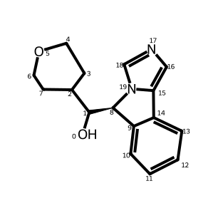 OC(C1CCOCC1)[C@@H]1c2ccccc2-c2cncn21